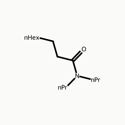 CCCCCCCCC(=O)N(CCC)CCC